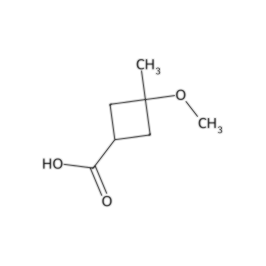 COC1(C)CC(C(=O)O)C1